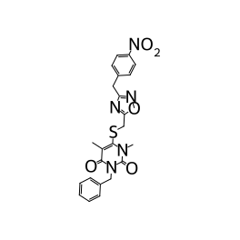 Cc1c(SCc2nc(Cc3ccc([N+](=O)[O-])cc3)no2)n(C)c(=O)n(Cc2ccccc2)c1=O